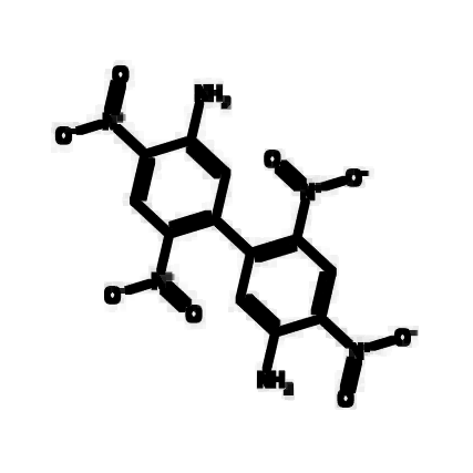 Nc1cc(-c2cc(N)c([N+](=O)[O-])cc2[N+](=O)[O-])c([N+](=O)[O-])cc1[N+](=O)[O-]